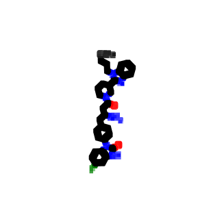 COCCCn1c(C2CCCN(C(=O)CC(N)Cc3ccc(-n4c(=O)[nH]c5cc(F)ccc54)cc3)C2)nc2ccccc21